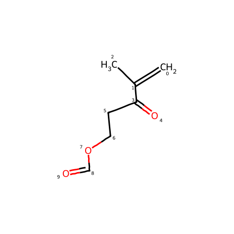 C=C(C)C(=O)CCOC=O